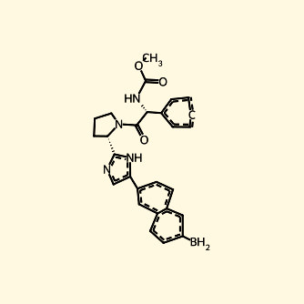 Bc1ccc2cc(-c3cnc([C@@H]4CCCN4C(=O)[C@H](NC(=O)OC)c4ccccc4)[nH]3)ccc2c1